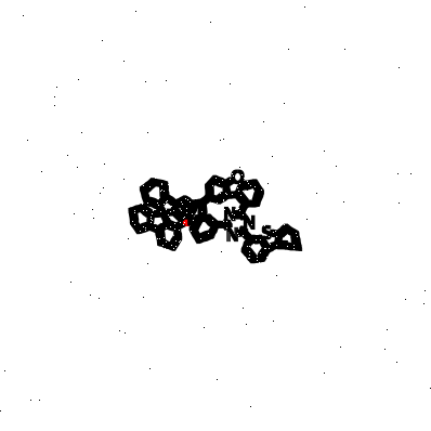 c1ccc(-c2nc(-c3cccc4c3sc3ccccc34)nc(-c3cccc4oc5ccc(-c6ccc(-c7cccc8c7C7(c9ccccc9-c9ccccc97)c7ccccc7-8)cc6)cc5c34)n2)cc1